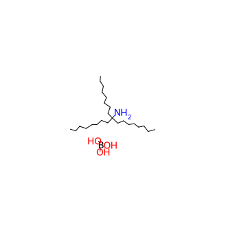 CCCCCCCCC(N)(CCCCCCCC)CCCCCCCC.OB(O)O